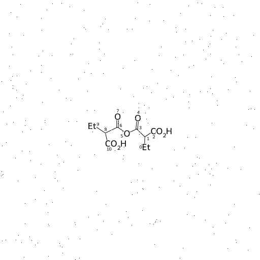 CCC(C(=O)O)C(=O)OC(=O)C(CC)C(=O)O